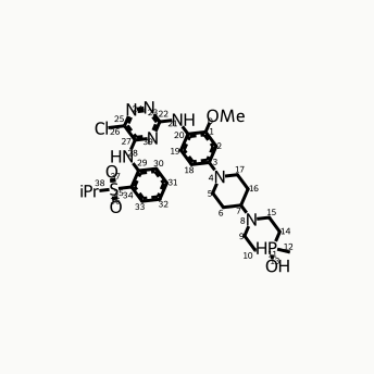 COc1cc(N2CCC(N3CC[PH](C)(O)CC3)CC2)ccc1Nc1nnc(Cl)c(Nc2ccccc2S(=O)(=O)C(C)C)n1